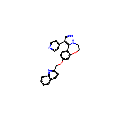 N=C/C(=C1\NCCOc2cc(OCc3ccc4ccccc4n3)ccc21)c1ccncc1